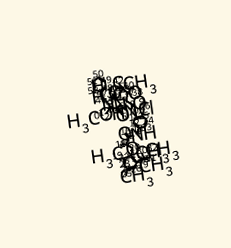 CCOC1C(=O)N(C(C(=O)Nc2cc(NC(=O)C(CC)Oc3ccc(C)cc3C(C)(C)CC)ccc2Cl)C(=O)C(C)(C)C)C(=O)N1Cc1ccccc1